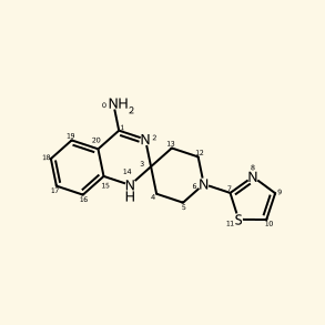 NC1=NC2(CCN(c3nccs3)CC2)Nc2ccccc21